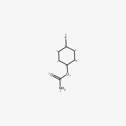 NC(=O)OC1CCC(F)CC1